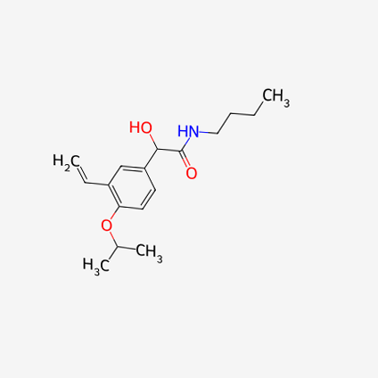 C=Cc1cc(C(O)C(=O)NCCCC)ccc1OC(C)C